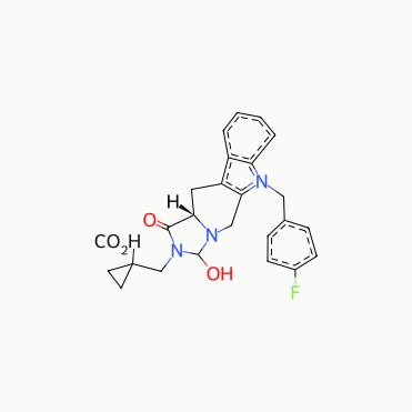 O=C1[C@@H]2Cc3c(n(Cc4ccc(F)cc4)c4ccccc34)CN2C(O)N1CC1(C(=O)O)CC1